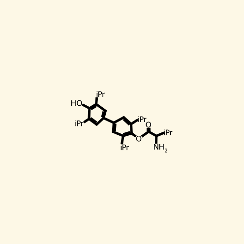 CC(C)c1cc(-c2cc(C(C)C)c(OC(=O)C(N)C(C)C)c(C(C)C)c2)cc(C(C)C)c1O